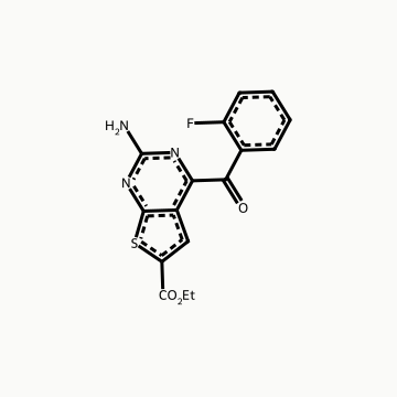 CCOC(=O)c1cc2c(C(=O)c3ccccc3F)nc(N)nc2s1